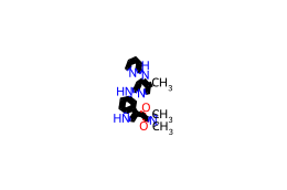 Cc1cnc(Nc2ccc3[nH]cc(C(=O)C(=O)N(C)C)c3c2)cc1Nc1ccccn1